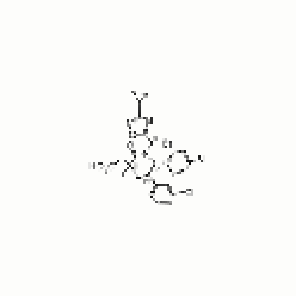 CC[C@@H](c1nc(C2CC2)no1)N1C(=O)[C@@](C)(CC(=O)O)C[C@H](c2cccc(Cl)c2)[C@H]1c1ccc(Cl)cc1